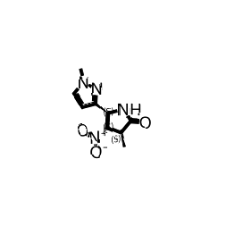 C[C@@H]1C(=O)N[C@H](c2ccn(C)n2)[C@H]1[N+](=O)[O-]